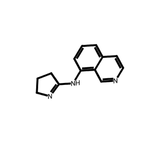 c1cc(NC2=NCCC2)c2cnccc2c1